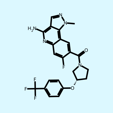 Cn1ncc2c(N)nc3cc(F)c(C(=O)N4CC[C@H](Oc5ccc(C(F)(F)F)cc5)C4)cc3c21